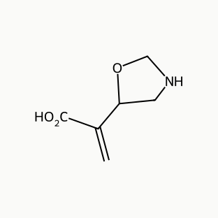 C=C(C(=O)O)C1CNCO1